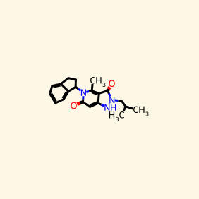 Cc1c2c(=O)n(CC(C)C)[nH]c2cc(=O)n1C1CCc2ccccc21